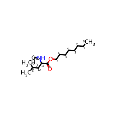 CCCCCCCCOC(=O)C(CC(C)C)NC